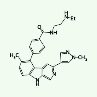 CCNCCNC(=O)c1ccc(-c2c(C)ccc3[nH]c4cnc(-c5cnn(C)c5)cc4c23)cc1